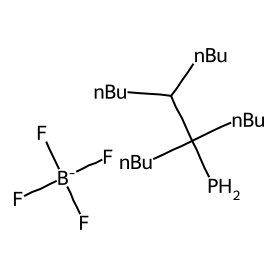 CCCCC(CCCC)C(P)(CCCC)CCCC.F[B-](F)(F)F